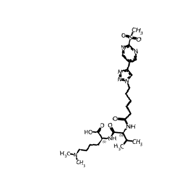 CC(C)[C@H](NC(=O)CCCCCn1cc(-c2cnc(S(C)(=O)=O)nc2)nn1)C(=O)N[C@@H](CCCCN(C)C)C(=O)O